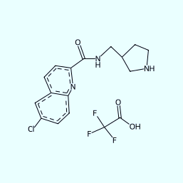 O=C(NCC1CCNC1)c1ccc2cc(Cl)ccc2n1.O=C(O)C(F)(F)F